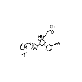 CC(C)(C)c1cccc(Cn2cc(-c3cc(-c4cccc(C#N)c4)nc(NCCC(=O)O)n3)nn2)n1